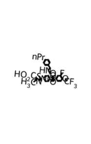 CCCc1ccc(CNC(=O)[C@H]2CN(c3nc(C)c(C(=O)O)s3)CCN2S(=O)(=O)c2ccc(OC(F)(F)F)c(F)c2)cc1